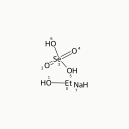 CCO.O=[Se](=O)(O)O.[NaH]